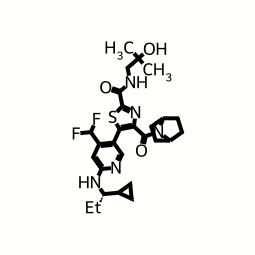 CC[C@H](Nc1cc(C(F)F)c(-c2sc(C(=O)NCC(C)(C)O)nc2C(=O)N2C3CCC2CC3)cn1)C1CC1